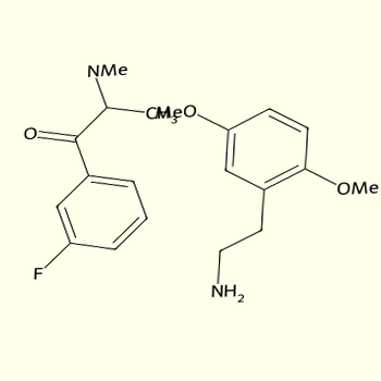 CNC(C)C(=O)c1cccc(F)c1.COc1ccc(OC)c(CCN)c1